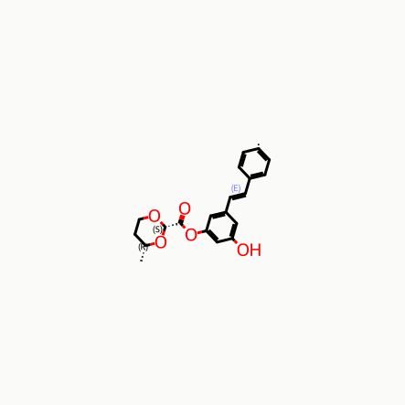 C[C@@H]1CCO[C@H](C(=O)Oc2cc(O)cc(/C=C/c3cc[c]cc3)c2)O1